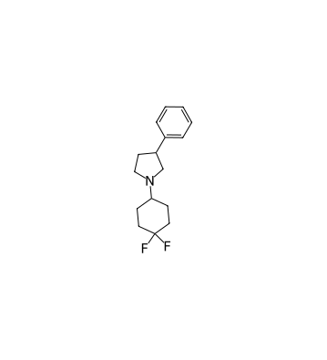 FC1(F)CCC(N2CCC(c3ccccc3)C2)CC1